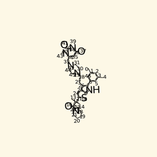 Cc1cc(C)cc(-c2[nH]c3sc(C(C)(C)C(=O)N4C5CCC4CC5)cc3c2CCN2CCN(Cc3cc(=O)n(C)c(=O)n3C)CC2)c1